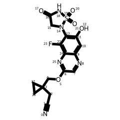 N#CCC1(COc2cnc3cc(O)c(N4CC(=O)NS4(=O)=O)c(F)c3n2)CC1